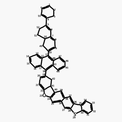 C1=CCCC(C2=CC3=CC=C(c4c5ccccc5c(C5=CC=C6Oc7cc8cc9sc%10ccccc%10c9cc8cc7C6C5)c5ccccc45)CC3CC2)=C1